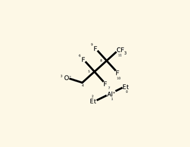 C[CH2][Al+][CH2]C.[O-]CC(F)(F)C(F)(F)C(F)(F)F